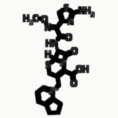 CON=C(C(=O)N[C@@H]1C(=O)N2C(C(=O)O)=C(C[n+]3cccc4c3CCC4)CS[C@H]12)c1csc(N)n1